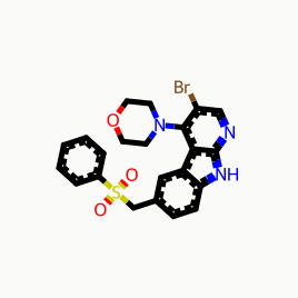 O=S(=O)(Cc1ccc2[nH]c3ncc(Br)c(N4CCOCC4)c3c2c1)c1ccccc1